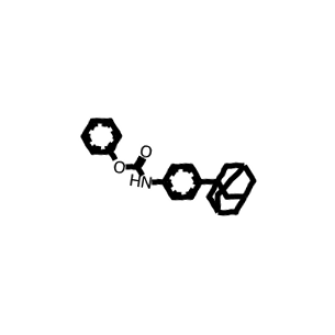 O=C(Nc1ccc(C23CC4CC(CC(C4)C2)C3)cc1)Oc1ccccc1